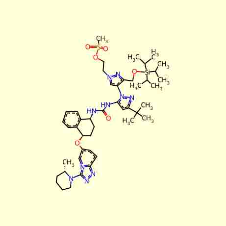 CC(C)[Si](OCc1nn(CCOS(C)(=O)=O)cc1-n1nc(C(C)(C)C)cc1NC(=O)N[C@H]1CC[C@@H](Oc2ccc3nnc(N4CCCC[C@@H]4C)n3c2)c2ccccc21)(C(C)C)C(C)C